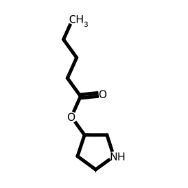 CCCCC(=O)OC1C[CH]NC1